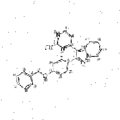 Clc1nccc(-c2c(-c3ccc(OCc4ccccc4)cc3)nn3ccccc23)n1